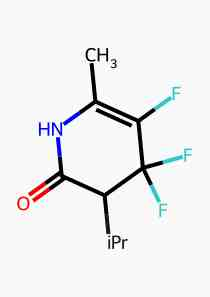 CC1=C(F)C(F)(F)C(C(C)C)C(=O)N1